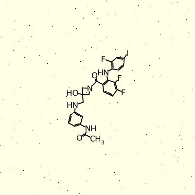 CC(=O)Nc1cccc(NCC2(O)CN(C(=O)c3ccc(F)c(F)c3Nc3ccc(I)cc3F)C2)c1